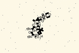 C=C[C@@H]1C[C@]1(NC(=O)[C@@H]1C[C@@]2(CN1C(=O)[C@@H](NC(=O)[C@@H](NC(=O)O)C(C)(C)C)C(C)(C)C)C(C)(C)C21CCC1)C(=O)NS(=O)(=O)N1CCOCC1